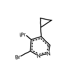 CC(C)c1c(C2CC2)cnnc1Br